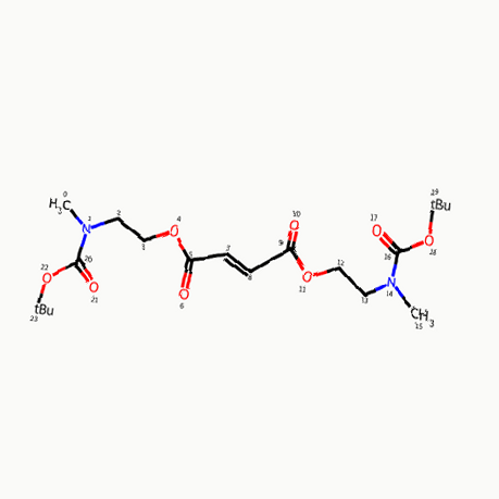 CN(CCOC(=O)/C=C/C(=O)OCCN(C)C(=O)OC(C)(C)C)C(=O)OC(C)(C)C